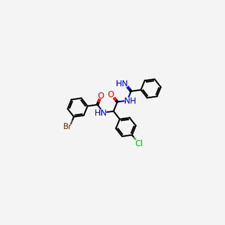 N=C(NC(=O)C(NC(=O)c1cccc(Br)c1)c1ccc(Cl)cc1)c1ccccc1